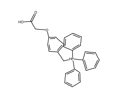 O=C(O)COc1ccc(C[PH](c2ccccc2)(c2ccccc2)c2ccccc2)cc1